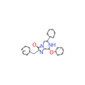 O=c1c(Cc2ccccc2)nc2c(Oc3ccccc3)[nH]c(-c3ccccc3)cn1-2